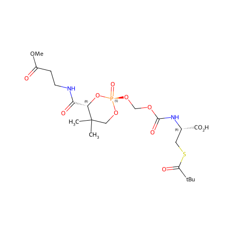 COC(=O)CCNC(=O)[C@@H]1O[P@@](=O)(OCOC(=O)N[C@@H](CSC(=O)C(C)(C)C)C(=O)O)OCC1(C)C